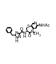 CC(=O)Nc1cc2c(cn1)SC[C@H](NC(=O)c1n[nH]c(Cc3ccccc3)n1)C(=O)N2C